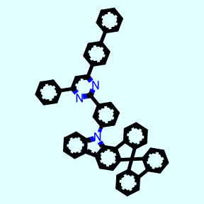 c1ccc(-c2ccc(-c3cc(-c4ccccc4)nc(-c4cccc(-n5c6ccccc6c6ccc7c(c65)-c5ccccc5C75c6ccccc6-c6ccccc65)c4)n3)cc2)cc1